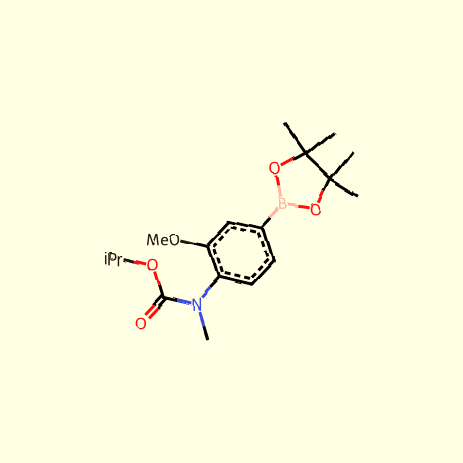 COc1cc(B2OC(C)(C)C(C)(C)O2)ccc1N(C)C(=O)OC(C)C